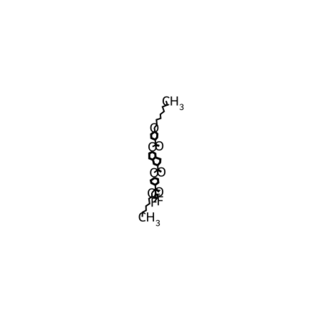 CCCCCCCCOc1ccc(C(=O)Oc2ccc3cc(C(=O)Oc4ccc(C(=O)OC(CCCCCC)C(F)(F)F)cc4)ccc3c2)cc1